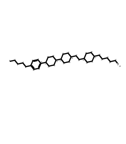 CCCCCc1ccc(C2CCC(C3CCC(CCC4CCC(CCCCCF)CC4)CC3)CC2)cc1